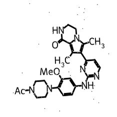 COc1cc(Nc2nccc(-c3c(C)c4n(c3C)CCNC4=O)n2)ccc1N1CCN(C(C)=O)CC1